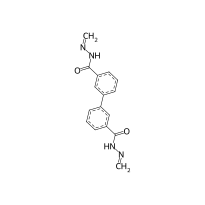 C=NNC(=O)c1cccc(-c2cccc(C(=O)NN=C)c2)c1